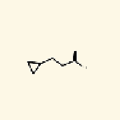 NC(=S)CCC1CC1